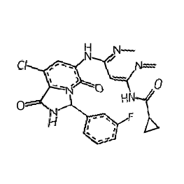 C=N/C(=C\C(=N/C)Nc1cc(Cl)c2n(c1=O)C(c1cccc(F)c1)NC2=O)NC(=O)C1CC1